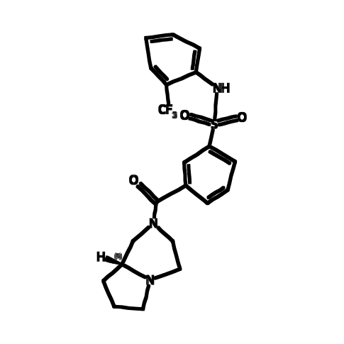 O=C(c1cccc(S(=O)(=O)Nc2ccccc2C(F)(F)F)c1)N1CCN2CCC[C@@H]2C1